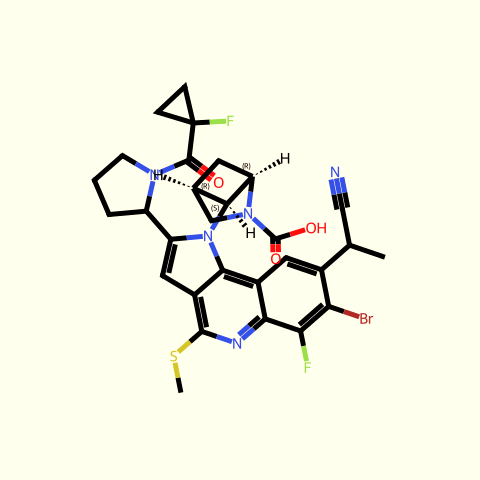 CSc1nc2c(F)c(Br)c(C(C)C#N)cc2c2c1cc(C1CCCN1C(=O)C1(F)CC1)n2[C@H]1[C@@H]2C[C@H]1N(C(=O)O)C2